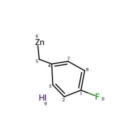 Fc1ccc([CH2][Zn])cc1.I